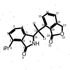 CC(C)c1cccc2c1C(=O)NC2C(C)(C)c1cccc2c1C(=O)OC2